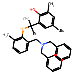 CCCC(CC)(Pc1c(C)cccc1CN(Cc1ccccc1)Cc1ccccc1)c1cc(C(C)(C)C)cc(C)c1O